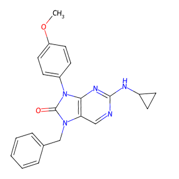 COc1ccc(-n2c(=O)n(Cc3ccccc3)c3cnc(NC4CC4)nc32)cc1